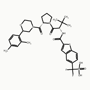 Cc1ccc(C2CN(C(=O)[C@@H]3CCCN3C(=O)[C@@H](NC(=O)c3cc4cc(C(F)(F)P(=O)(O)O)ccc4s3)C(C)(C)C)CCO2)c(C)c1